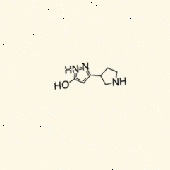 Oc1cc(C2CCNC2)n[nH]1